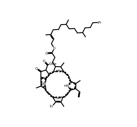 C=Cc1c(C)c2cc3nc(c4c5[nH]c(cc6nc(cc1[nH]2)C(C)=C6CC)c(C)c5C(=O)C4C(=O)OC)C(CCC(=O)OC/C=C(\C)CCCC(C)CCCC(C)CCCC(C)C)C3C